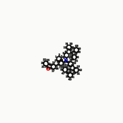 c1ccc(-c2cc3c(cc2N(c2ccc(-c4ccc5oc6ccccc6c5c4)cc2)c2ccc4c(c2)C(c2ccccc2)(c2ccccc2)c2ccccc2-4)C(c2ccccc2)(c2ccccc2)c2ccccc2-3)cc1